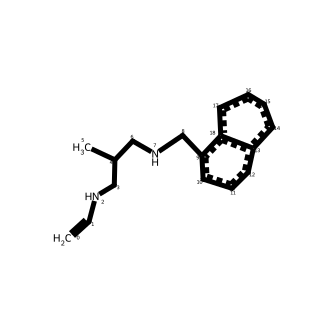 C=CNCC(C)CNCc1cccc2ccccc12